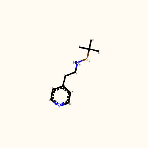 CC(C)(C)SNCCc1ccncc1